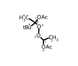 CC(=O)OC(C)OOC(C)(OC(C)=O)C(C)(C)C